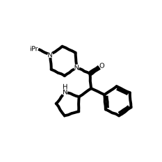 CC(C)N1CCN(C(=O)C(c2ccccc2)C2CCCN2)CC1